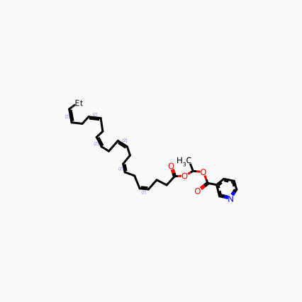 CC/C=C\C/C=C\C/C=C\C/C=C\C/C=C\C/C=C\CCC(=O)OC(C)OC(=O)c1cccnc1